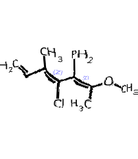 C=C/C(C)=C(Cl)/C(P)=C(\C)OC